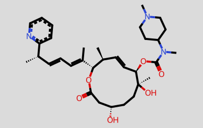 C/C(=C\C=C\[C@H](C)c1ccccn1)[C@H]1OC(=O)C[C@@H](O)CC[C@](C)(O)[C@H](OC(=O)N(C)C2CCN(C)CC2)/C=C/[C@@H]1C